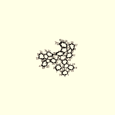 c1ccc(C2(c3ccccc3)c3ccccc3-c3ccc(N(c4ccc5c(c4)C4(c6ccccc6-c6ccccc64)c4ccccc4-5)c4ccc5c(c4)C4(c6ccccc6-c6ccccc64)c4ccccc4-5)cc32)cc1